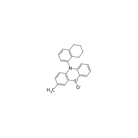 Cc1ccc2c(c1)[S+]([O-])c1ccccc1N2c1cccc2c1CCCC2